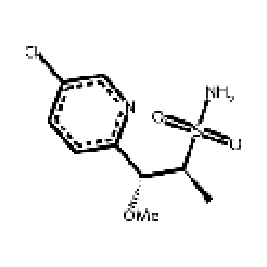 CO[C@H](c1ccc(Cl)cn1)[C@H](C)S(N)(=O)=O